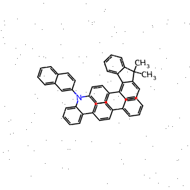 CC1(C)c2ccccc2-c2c(-c3ccc(N(c4ccc5ccccc5c4)c4ccccc4-c4ccc(-c5ccccc5)cc4)cc3)cccc21